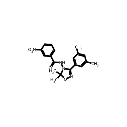 Cc1cc(C)cc(C2=NOC(C)(C)N2NC(=O)c2cccc([N+](=O)[O-])c2)c1